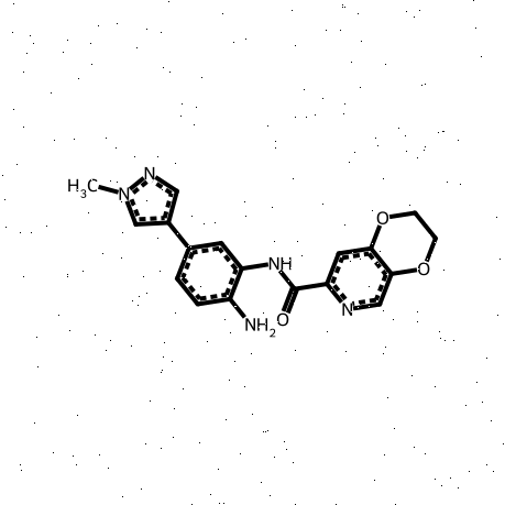 Cn1cc(-c2ccc(N)c(NC(=O)c3cc4c(cn3)OCCO4)c2)cn1